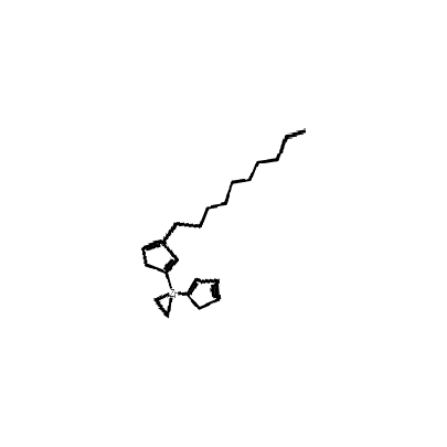 CCCCCCCCCCC1=CC[C]([Zr]2([C]3=CC=CC3)[CH2][CH2]2)=C1